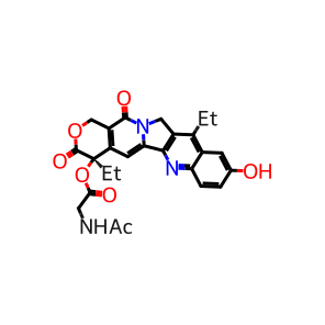 CCc1c2c(nc3ccc(O)cc13)-c1cc3c(c(=O)n1C2)COC(=O)[C@@]3(CC)OC(=O)CNC(C)=O